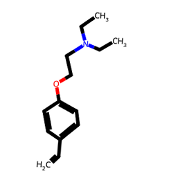 C=Cc1ccc(OCCN(CC)CC)cc1